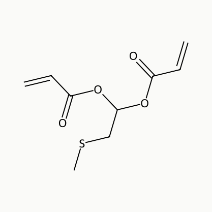 C=CC(=O)OC(CSC)OC(=O)C=C